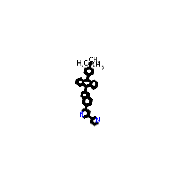 CC(C)(C)c1ccc(-c2c3ccccc3c(-c3ccc4cc(-c5cncc(-c6cccnc6)c5)ccc4c3)c3ccccc23)cc1